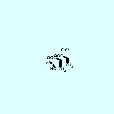 C=CC(=O)[O-].C=CC(=O)[O-].CCCCO.[Ca+2]